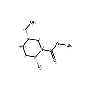 CC[C@@H]1CN[C@H](CO)CN1C(=O)OC(C)(C)C